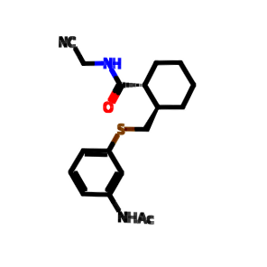 CC(=O)Nc1cccc(SC[C@@H]2CCCC[C@H]2C(=O)NCC#N)c1